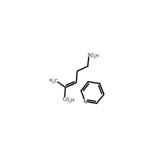 CC(=CCCS(=O)(=O)O)C(=O)O.c1ccncc1